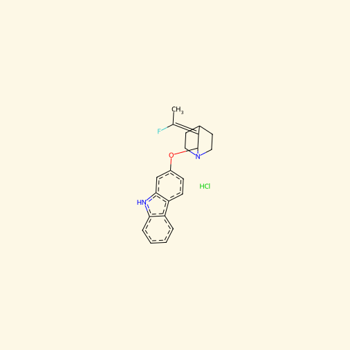 CC(F)=C1C2CCN(CC2)C1Oc1ccc2c(c1)[nH]c1ccccc12.Cl